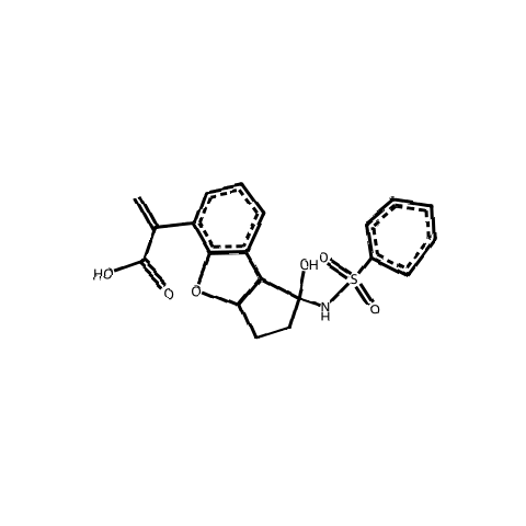 C=C(C(=O)O)c1cccc2c1OC1CCC(O)(NS(=O)(=O)c3ccccc3)C21